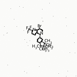 CC1(C)c2ccc(-c3ncc(Br)c4nc(C(F)(F)F)ccc34)cc2C(C)(C)C1(C)C